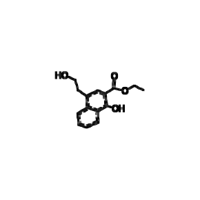 CCOC(=O)c1cc(CCO)c2ccccc2c1O